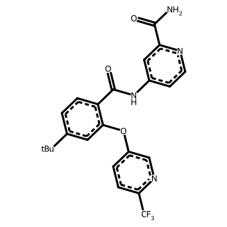 CC(C)(C)c1ccc(C(=O)Nc2ccnc(C(N)=O)c2)c(Oc2ccc(C(F)(F)F)nc2)c1